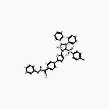 Cc1ccc(S(=O)(=O)N2C(c3ccc(-c4ccc(C(=O)NCc5ccccc5)cc4)o3)N[C@H](c3ccccc3)[C@H]2c2ccccc2)cc1